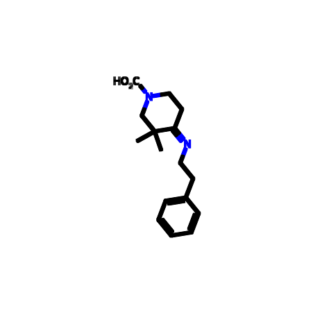 CC1(C)CN(C(=O)O)CCC1=NCCc1ccccc1